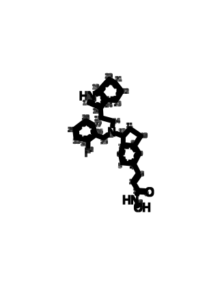 O=C(/C=C/c1ccc2c(c1)CCC2N(CCc1c[nH]c2ccccc12)Cc1ccccc1F)NO